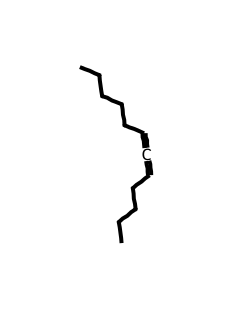 CCCCC=C=CCCCCC